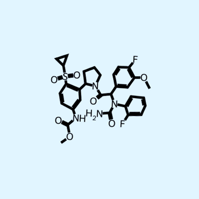 COC(=O)Nc1ccc(S(=O)(=O)C2CC2)c(C2CCCN2C(=O)C(c2ccc(F)c(OC)c2)N(C(N)=O)c2ccccc2F)c1